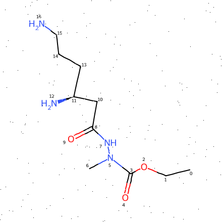 CCOC(=O)N(C)NC(=O)C[C@@H](N)CCCN